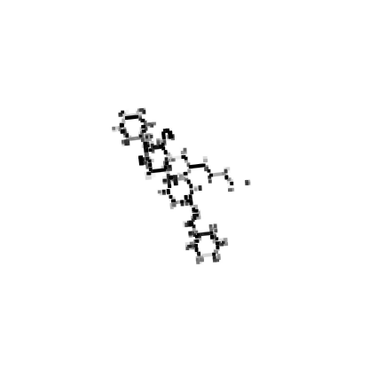 CCCCCCCc1c(N2CCN(SCc3ccccc3)CC2)cnn(-c2ccccc2)c1=O